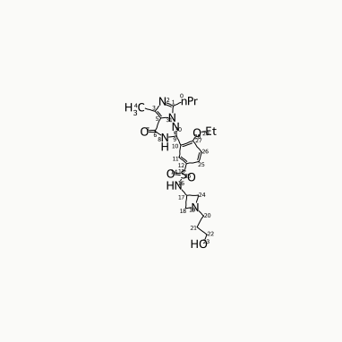 CCCc1nc(C)c2c(=O)[nH]c(-c3cc(S(=O)(=O)NC4CN(CCCO)C4)ccc3OCC)nn12